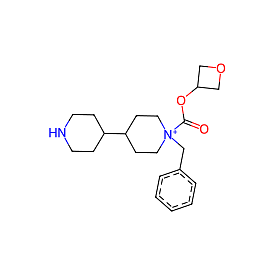 O=C(OC1COC1)[N+]1(Cc2ccccc2)CCC(C2CCNCC2)CC1